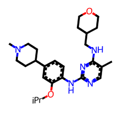 Cc1cnc(Nc2ccc(C3CCN(C)CC3)cc2OC(C)C)nc1NCC1CCOCC1